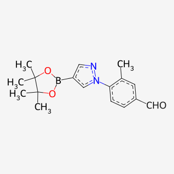 Cc1cc(C=O)ccc1-n1cc(B2OC(C)(C)C(C)(C)O2)cn1